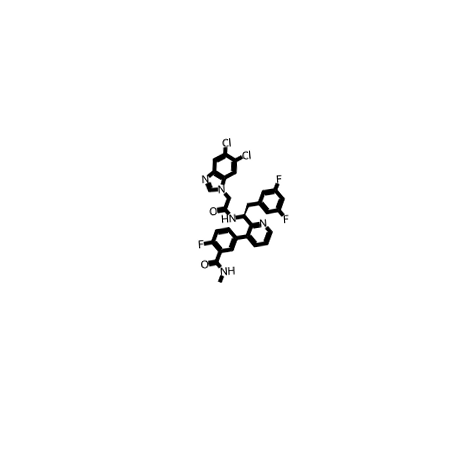 CNC(=O)c1cc(-c2cccnc2[C@H](Cc2cc(F)cc(F)c2)NC(=O)Cn2cnc3cc(Cl)c(Cl)cc32)ccc1F